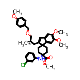 COC(=O)C1(Nc2cccc(Cl)c2)CCC2(CC1)C(C[C@@H](C)COCc1ccc(OC)cc1)=Cc1cc(OC)c(OC)cc12